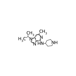 Cc1cc2c(ncn2C(C)C)c(NC2CCNCC2)n1